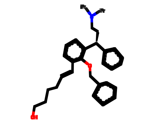 CC(C)N(CC[C@H](c1ccccc1)c1cccc(C=CCCCCO)c1OCc1ccccc1)C(C)C